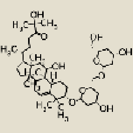 C[C@H](CCC(=O)C(C)(C)O)[C@H]1CC[C@@]2(C)C3CC=C4[C@@H](CC[C@H](O[C@H]5C[C@@H](O)C[C@@H](CO[C@H]6C[C@@H](O)C[C@@H](CO)O6)O5)C4(C)C)[C@]3(C)[C@H](O)C[C@]12C